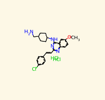 COc1ccc2nc(C=Cc3ccc(Cl)cc3)nc(NC3CCC(CN)CC3)c2c1.Cl.Cl